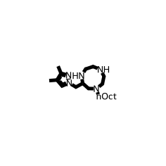 CCCCCCCCN1CCNCCNC(Cn2cc(C)c(C)n2)C1